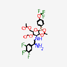 CC(=O)OCC1OC(Sc2ccc(OC(F)(F)F)cc2)C(OC(C)=O)C(N/C=C(\N)c2cc(F)c(F)c(F)c2)C1OC=O